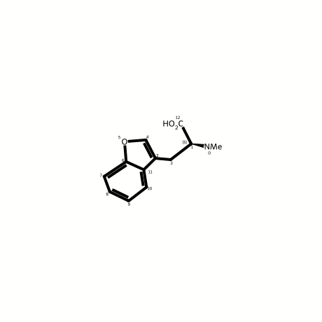 CN[C@@H](Cc1coc2ccccc12)C(=O)O